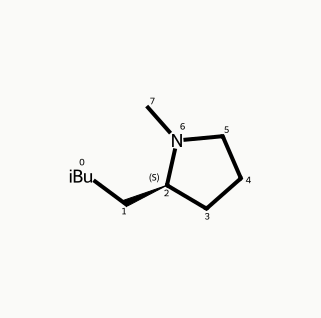 CCC(C)C[C@@H]1CCCN1C